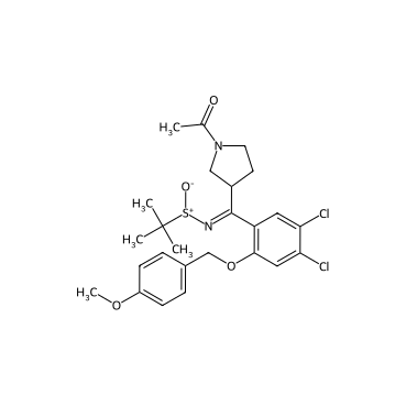 COc1ccc(COc2cc(Cl)c(Cl)cc2/C(=N/[S+]([O-])C(C)(C)C)C2CCN(C(C)=O)C2)cc1